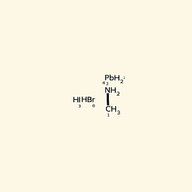 Br.CN.I.[PbH2]